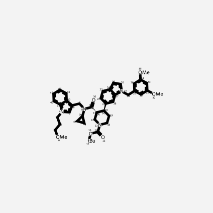 COCCCn1cc(CN(C(=O)[C@H]2CN(C(=O)OC(C)(C)C)CC[C@@H]2c2ccc3ccn(Cc4cc(OC)cc(OC)c4)c3c2)C2CC2)c2ccccc21